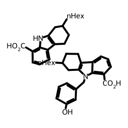 CCCCCCC1CCc2c([nH]c3c(C(=O)O)cccc23)C1.CCCCCCC1CCc2c(n(Cc3cccc(O)c3)c3c(C(=O)O)cccc23)C1